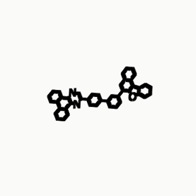 c1cc(-c2ccc(-c3cnc4c5ccccc5c5ccccc5c4n3)cc2)cc(-c2cc3ccccc3c3c2oc2ccccc23)c1